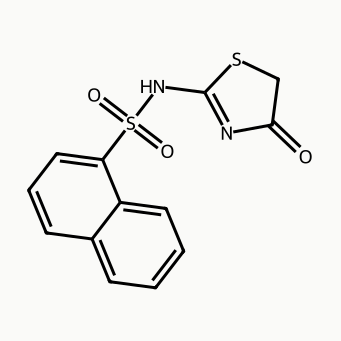 O=C1CSC(NS(=O)(=O)c2cccc3ccccc23)=N1